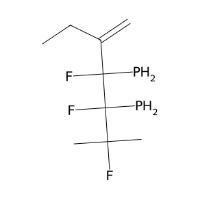 C=C(CC)C(F)(P)C(F)(P)C(C)(C)F